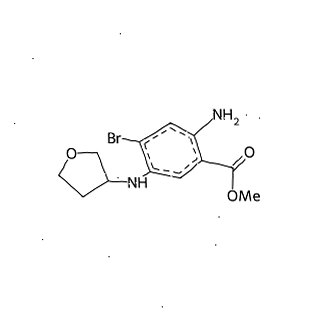 COC(=O)c1cc(NC2CCOC2)c(Br)cc1N